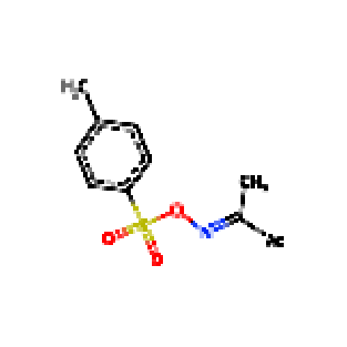 CC(=O)C(C)=NOS(=O)(=O)c1ccc(C)cc1